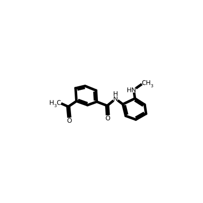 CNc1ccccc1NC(=O)c1cccc(C(C)=O)c1